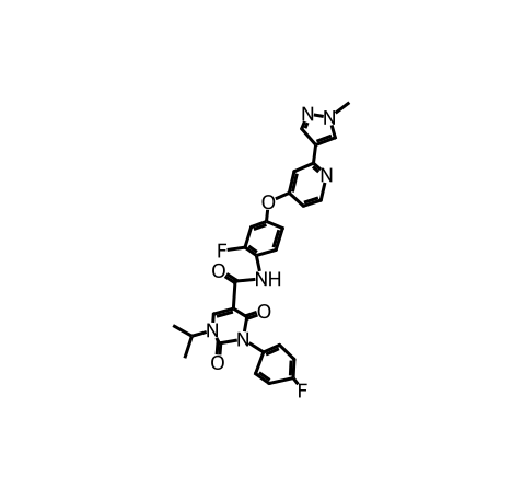 CC(C)n1cc(C(=O)Nc2ccc(Oc3ccnc(-c4cnn(C)c4)c3)cc2F)c(=O)n(-c2ccc(F)cc2)c1=O